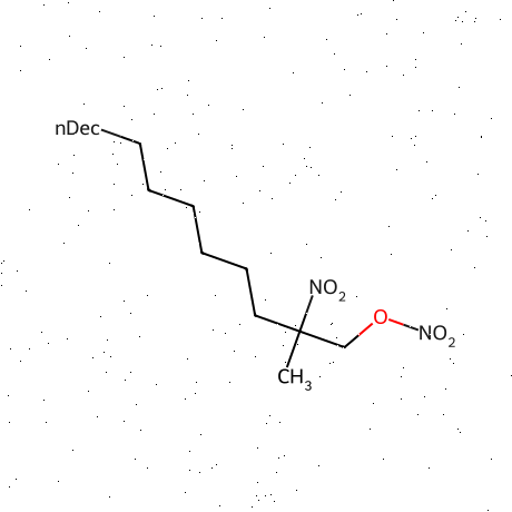 CCCCCCCCCCCCCCCCC(C)(CO[N+](=O)[O-])[N+](=O)[O-]